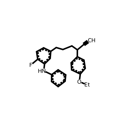 C#CC(CCCc1ccc(F)c(Nc2ccccc2)c1)c1ccc(OCC)cc1